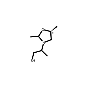 CC(CS)N1C[C@H](C)OC1C